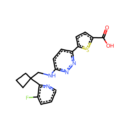 O=C(O)c1ccc(-c2ccc(NCC3(c4ncccc4F)CCC3)nn2)s1